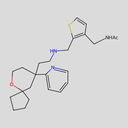 CC(=O)NCc1ccsc1CNCCC1(c2ccccn2)CCOC2(CCCC2)C1